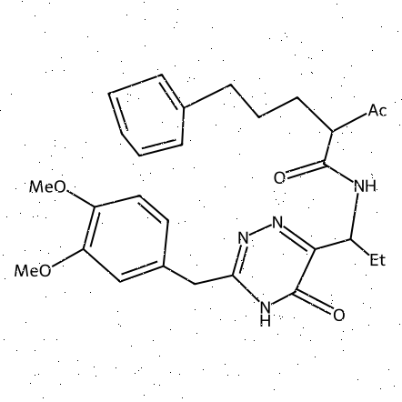 CCC(NC(=O)C(CCCc1ccccc1)C(C)=O)c1nnc(Cc2ccc(OC)c(OC)c2)[nH]c1=O